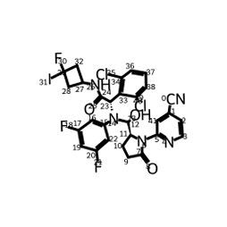 N#Cc1ccnc(N2C(=O)CC[C@H]2C(O)N(c2cc(F)cc(F)c2)[C@H](C(=O)NC2CC(F)(I)C2)c2c(Cl)cccc2Cl)c1